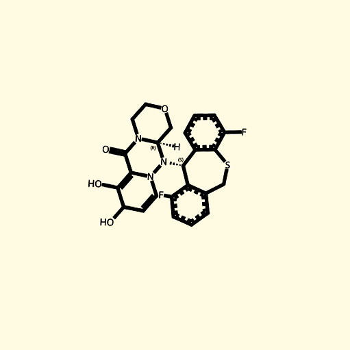 O=C1C2=C(O)C(O)C=CN2N([C@@H]2c3cccc(F)c3SCc3cccc(F)c32)[C@@H]2COCCN12